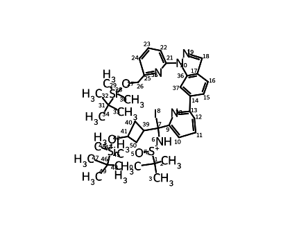 CC(C)(C)[S@@+]([O-])NC(I)(c1cccc(-c2ccc3cnn(-c4cccc(CO[Si](C)(C)C(C)(C)C)n4)c3c2)n1)C1CC(O[Si](C)(C)C(C)(C)C)C1